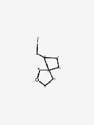 ICC1CCC12CCOC2